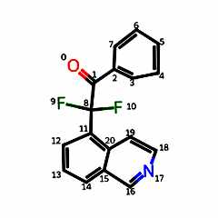 O=C(c1ccccc1)C(F)(F)c1cccc2cnccc12